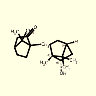 CC1(C)[C@@H]2CC[C@@]1(C)[C@@H](O)C2.CC12CCC(CC1=O)C2(C)C